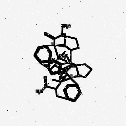 CC1(C)C(C(N)=O)Cc2ccc(cc2)[C@@]1(C(=O)NC(=O)O)N1CCCC1N(c1ccon1)C1CCCN1[C@]1(C(=O)NC(=O)O)c2ccc(cc2)CC(C(N)=O)C1(C)C